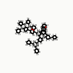 c1ccc(-c2ccc3c(c2)c2cc(-c4ccccc4)ccc2n3-c2ccc(-c3nc(-c4ccccc4)nc(-c4ccccc4)n3)cc2-c2cc(-c3ccccc3)nc(-c3ccc(-c4ccc5c6c4N(c4ccccc4)c4ccccc4B6c4ccccc4N5c4ccccc4)cc3)n2)cc1